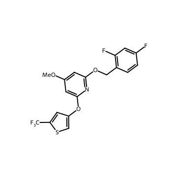 COc1cc(OCc2ccc(F)cc2F)nc(Oc2csc(C(F)(F)F)c2)c1